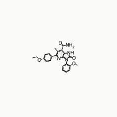 CCOc1ccc(-c2nc3c([nH]c(=O)n3-c3ccccc3OC)c(C(N)=O)c2C)cc1